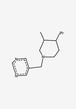 CC(C)C1CCN(Cc2cncnc2)CC1C